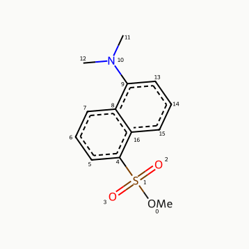 [CH2]OS(=O)(=O)c1cccc2c(N(C)C)cccc12